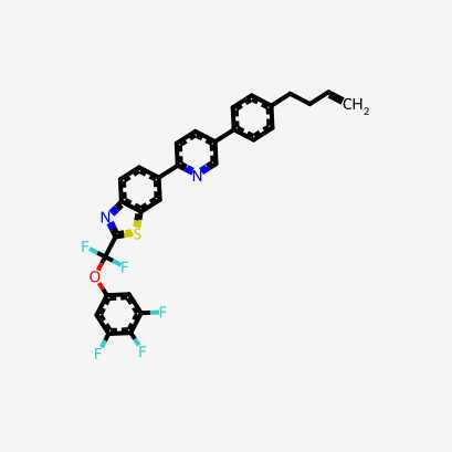 C=CCCc1ccc(-c2ccc(-c3ccc4nc(C(F)(F)Oc5cc(F)c(F)c(F)c5)sc4c3)nc2)cc1